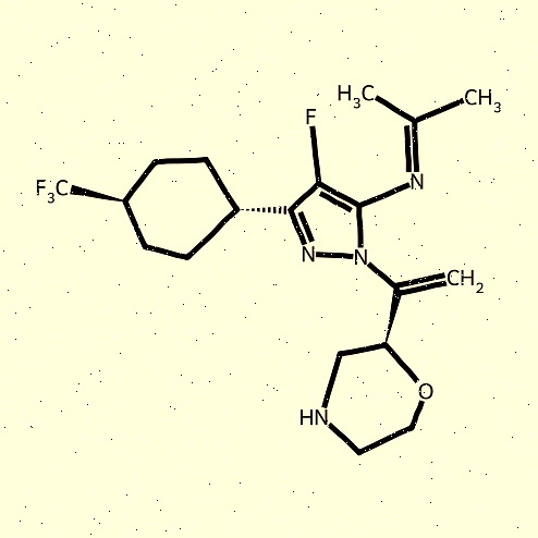 C=C([C@@H]1CNCCO1)n1nc([C@H]2CC[C@H](C(F)(F)F)CC2)c(F)c1N=C(C)C